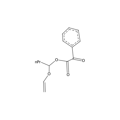 C=COC(CCC)OC(=O)C(=O)c1ccccc1